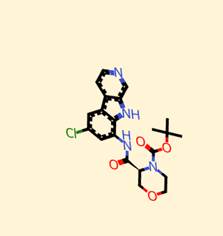 CC(C)(C)OC(=O)N1CCOC[C@H]1C(=O)Nc1cc(Cl)cc2c1[nH]c1cnccc12